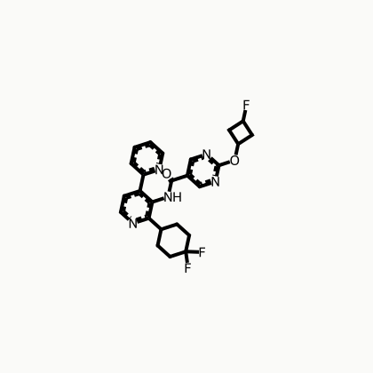 O=C(Nc1c(-c2ccccn2)ccnc1C1CCC(F)(F)CC1)c1cnc(OC2CC(F)C2)nc1